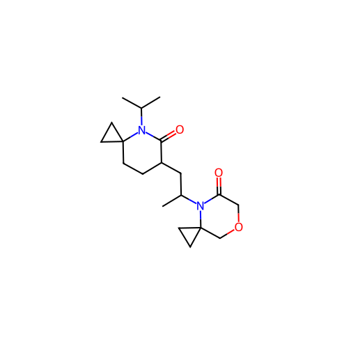 CC(C)N1C(=O)C(CC(C)N2C(=O)COCC23CC3)CCC12CC2